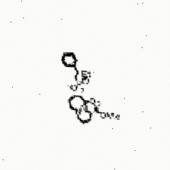 CCOP(=O)(CCc1ccccc1)C[C@H]1CCCN2CCC[C@@H](C(=O)OC)N2C1=O